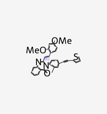 COc1ccc(/C=C/c2nc3ccccc3c(=O)n2-c2ccc(C#Cc3cccs3)cc2C)c(OC)c1